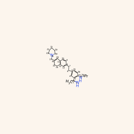 CC(=N)c1cc(CCc2ccc3c(c2)CCC(CN2CCCCC2)=C3)ccc1NC(C)C